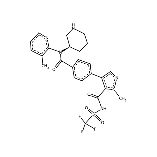 Cc1cccnc1N(C(=O)c1ccc(-c2cnn(C)c2C(=O)NS(=O)(=O)C(F)(F)F)cc1)[C@@H]1CCCNC1